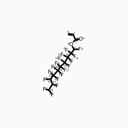 C=CC(=O)OC(F)C(F)(F)C(F)(F)C(F)(F)C(F)(F)C(F)(F)C(F)(F)C(F)C(F)C(F)F